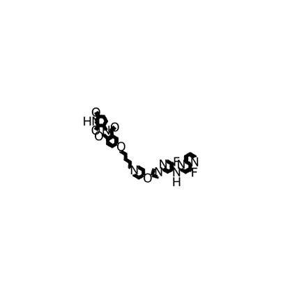 O=C1CCC(N2C(=O)c3ccc(OCCCCCN4CCC(OC5CN(c6cc(Nc7cc(F)c8ncccc8n7)c(F)cn6)C5)CC4)cc3C2=O)C(=O)N1